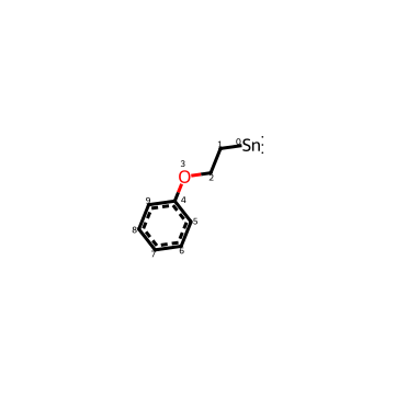 [Sn][CH2]COc1ccccc1